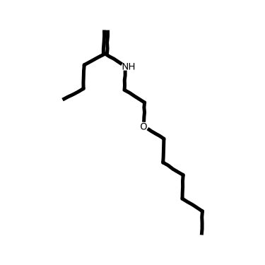 C=C(CCC)NCCOCCCCCC